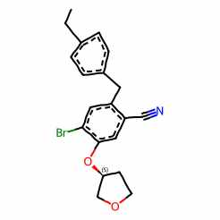 CCc1ccc(Cc2cc(Br)c(O[C@H]3CCOC3)cc2C#N)cc1